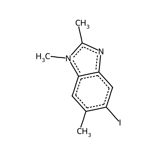 Cc1cc2c(cc1I)nc(C)n2C